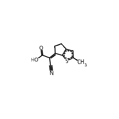 Cc1cc2c(s1)/C(=C(\C#N)C(=O)O)CC2